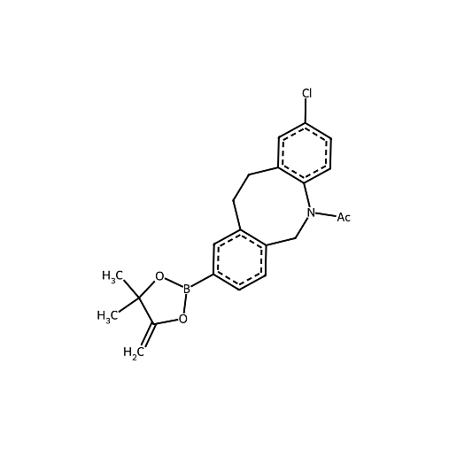 C=C1OB(c2ccc3c(c2)CCc2cc(Cl)ccc2N(C(C)=O)C3)OC1(C)C